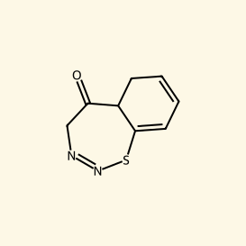 O=C1CN=NSC2=CC=CCC12